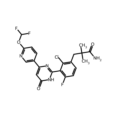 CC(C)(Cc1ccc(F)c(-c2nc(-c3ccc(OC(F)F)nc3)cc(=O)[nH]2)c1Cl)C(N)=O